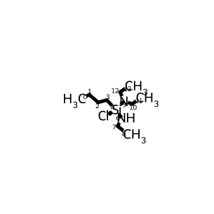 CCCC[Si](Cl)(NCC)N(CC)CC